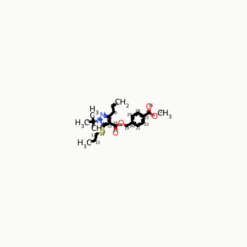 C=CCc1nn(C(C)(C)C)c(SCCC)c1C(=O)OCc1ccc(C(=O)OC)cc1